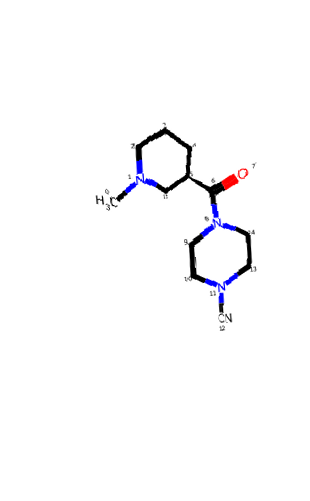 CN1CCC[C@@H](C(=O)N2CCN(C#N)CC2)C1